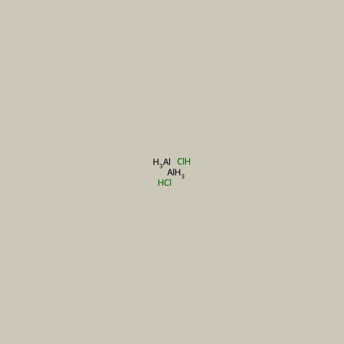 Cl.Cl.[AlH3].[AlH3]